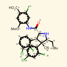 COc1cc(C(=O)O)c(F)cc1NC(=O)[C@@H]1N[C@@H](CC(C)(C)C)[C@](C#N)(c2ccc(Cl)cc2F)[C@H]1c1cccc(Cl)c1F